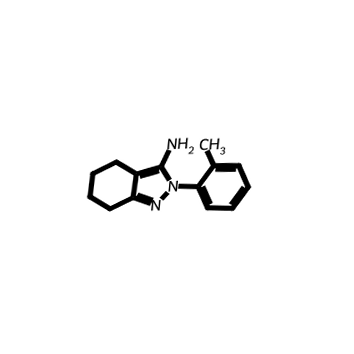 Cc1ccccc1-n1nc2c(c1N)CCCC2